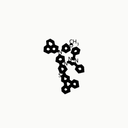 COc1ccc(N(c2cc3c4c(cccc4c2)CC=C3)c2ccc3c4cc5sc6cc7c8ccccc8c8ccccc8c7cc6c5cc4n(-c4cc(-c5ccccc5)nc(-c5ccccc5)n4)c3c2)cc1